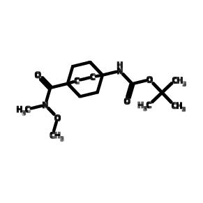 CON(C)C(=O)C12CCC(NC(=O)OC(C)(C)C)(CC1)CC2